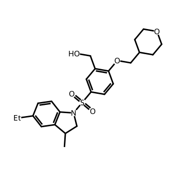 CCc1ccc2c(c1)C(C)CN2S(=O)(=O)c1ccc(OCC2CCOCC2)c(CO)c1